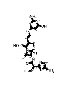 Nc1nc(O)cc(S/C=C/C2=C(C(=O)O)N3C(=O)[C@@H](NC(=O)/C(=N\O)c4nsc(N)n4)[C@H]3SC2)n1